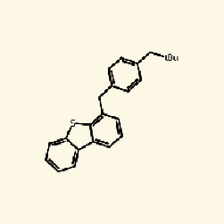 CC(C)(C)Cc1ccc(Cc2cccc3c2sc2ccccc23)cc1